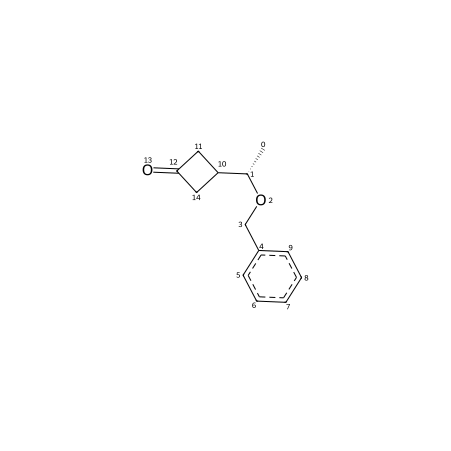 C[C@H](OCc1ccccc1)C1CC(=O)C1